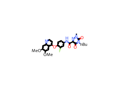 CCCCn1c(=O)c(C(=O)Nc2ccc(Oc3ccnc4cc(OC)c(OC)cc34)c(F)c2)nn(C)c1=O